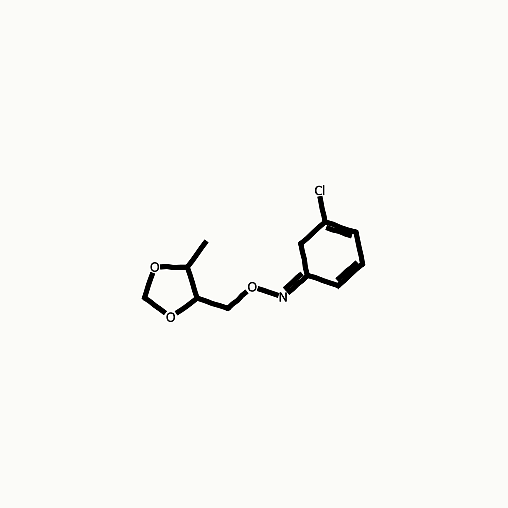 CC1OCOC1CON=C1[C]=CC=C(Cl)C1